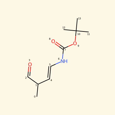 CC(C=O)C=CNC(=O)OC(C)(C)C